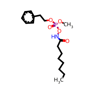 CCCCCCCC(=O)NOP(=O)(OC)OCCc1ccccc1